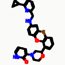 O=c1[nH]cccc1N1CCOC(c2cccc3c2Oc2ccc(NCc4cccc(C5CC5)n4)cc2S3)C1